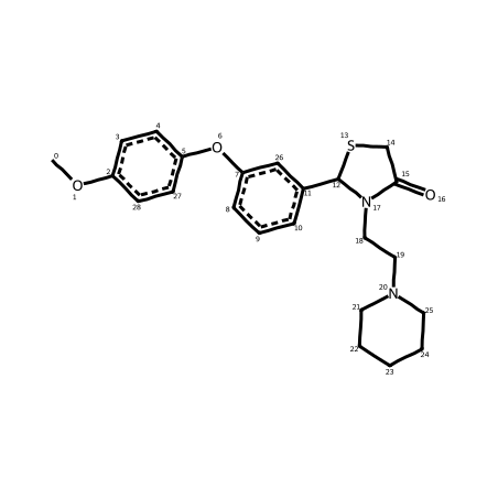 COc1ccc(Oc2cccc(C3SCC(=O)N3CCN3CCCCC3)c2)cc1